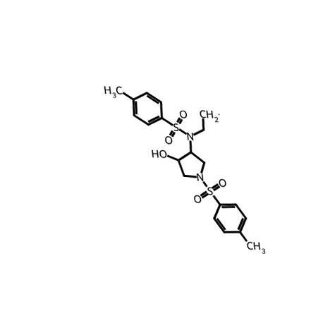 [CH2]CN(C1CN(S(=O)(=O)c2ccc(C)cc2)CC1O)S(=O)(=O)c1ccc(C)cc1